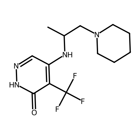 CC(CN1CCCCC1)Nc1cn[nH]c(=O)c1C(F)(F)F